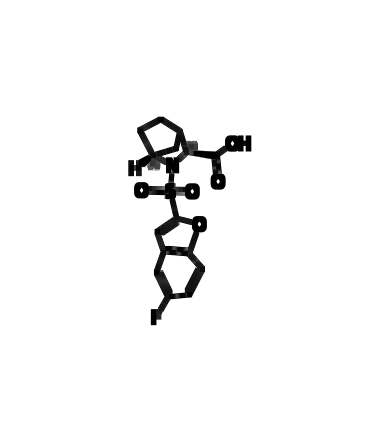 O=C(O)[C@@H]1C2CC[C@H](C2)N1S(=O)(=O)c1cc2cc(F)ccc2o1